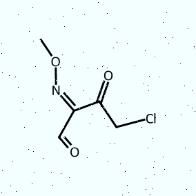 CON=C(C=O)C(=O)CCl